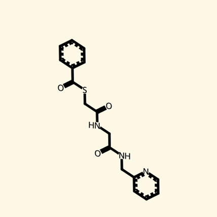 O=C(CNC(=O)CSC(=O)c1ccccc1)NCc1ccccn1